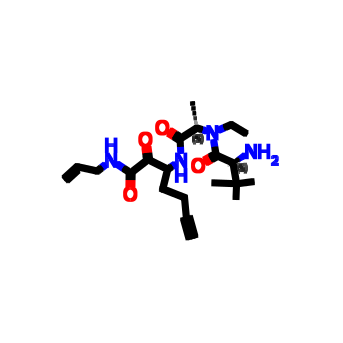 C#CCCC(NC(=O)[C@H](C)N(CC)C(=O)[C@@H](N)C(C)(C)C)C(=O)C(=O)NCC=C